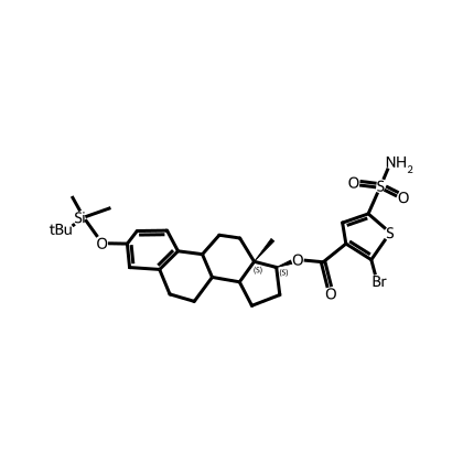 CC(C)(C)[Si](C)(C)Oc1ccc2c(c1)CCC1C2CC[C@@]2(C)C1CC[C@@H]2OC(=O)c1cc(S(N)(=O)=O)sc1Br